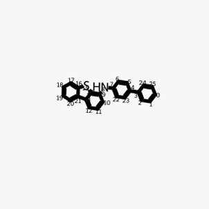 c1ccc(-c2ccc(Nc3cccc4c3sc3ccccc34)cc2)cc1